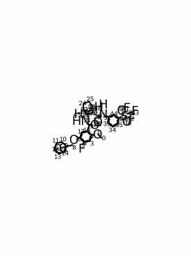 COc1cc(F)c(OCC23CCC(CC2)CC3)cc1C(=O)N[C@@H]1[C@H]2CC[C@H](C2)[C@@H]1C(=O)Nc1cccc(S(=O)(=O)C(F)(F)F)c1